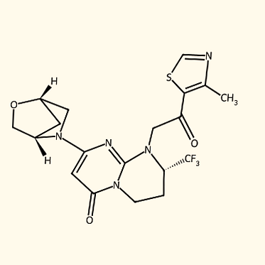 Cc1ncsc1C(=O)CN1c2nc(N3C[C@@H]4C[C@H]3CO4)cc(=O)n2CC[C@H]1C(F)(F)F